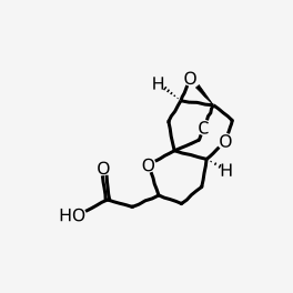 O=C(O)CC1CC[C@@H]2OC[C@]34CCC2(C[C@H]3O4)O1